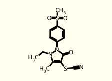 CCn1c(C)c(SC#N)c(=O)n1-c1ccc(S(C)(=O)=O)cc1